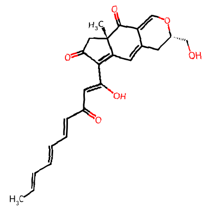 C/C=C/C=C/C=C/C(=O)/C=C(\O)C1=C2C=C3C[C@@H](CO)OC=C3C(=O)[C@@]2(C)CC1=O